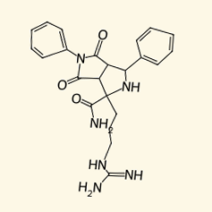 N=C(N)NCCCC1(C(N)=O)NC(c2ccccc2)C2C(=O)N(c3ccccc3)C(=O)C21